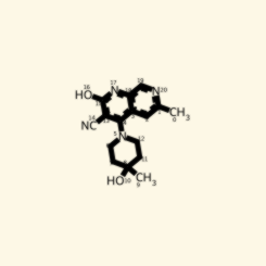 Cc1cc2c(N3CCC(C)(O)CC3)c(C#N)c(O)nc2cn1